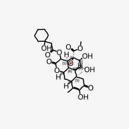 COC(=O)[C@@]12OC[C@]34[C@H]([C@@H](O)[C@@H]1O)[C@@]1(C)CC(=O)C(O)=C(C)[C@@H]1C[C@H]3OC(=O)C(OC(=O)CC1(O)CCCCC1)[C@@H]24